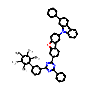 Bc1c(B)c(B)c(-c2cccc(-c3nc(-c4ccccc4)nc(-c4ccc5c(c4)oc4ccc(-n6c7ccccc7c7ccc(-c8ccccc8)cc76)cc45)n3)c2)c(B)c1B